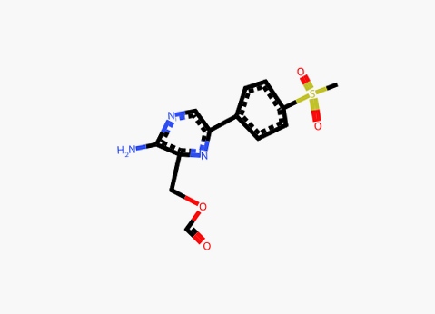 CS(=O)(=O)c1ccc(-c2cnc(N)c(COC=O)n2)cc1